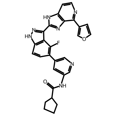 O=C(Nc1cncc(-c2ccc3[nH]nc(-c4nc5c(-c6ccoc6)nccc5[nH]4)c3c2F)c1)C1CCCC1